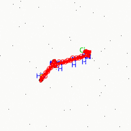 Cc1sc2c(c1C)C(c1ccc(Cl)cc1)=NC(CC(=O)NCCOCCOCCOCCNC(=O)CCOCCOCCOCCOCCNC(=O)CCC(=O)N1Cc3ccccc3-c3nnn(CCOCCOCCOCCOCCC(=O)NO[P](=S)OCC4CCC4)c3-c3ccccc31)c1nnc(C)n1-2